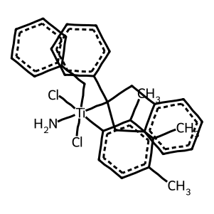 Cc1cc[c]([Ti]([NH2])([Cl])([Cl])([CH2]c2ccccc2)[C]2(c3ccccc3)Cc3ccccc3C2)c(C)c1C